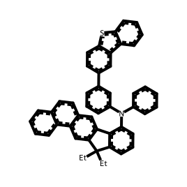 CCC1(CC)c2cc3c(ccc4ccccc43)cc2-c2c(N(c3ccccc3)c3cccc(-c4ccc5sc6ccccc6c5c4)c3)cccc21